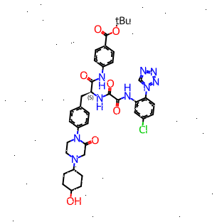 CC(C)(C)OC(=O)c1ccc(NC(=O)[C@H](Cc2ccc(N3CCN(C4CCC(O)CC4)CC3=O)cc2)NC(=O)C(=O)Nc2cc(Cl)ccc2-n2cnnn2)cc1